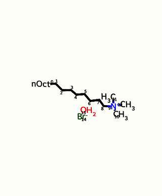 CCCCCCCCCCCCCCCC[N+](C)(C)C.O.[Br-]